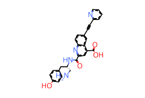 NC[C@H](Cc1ccc(O)cc1)NC(=O)c1cc(C(=O)O)c2cc(C#Cc3ccccn3)ccc2n1